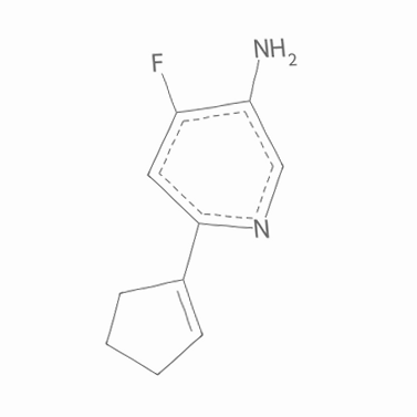 Nc1cnc(C2=CCCC2)cc1F